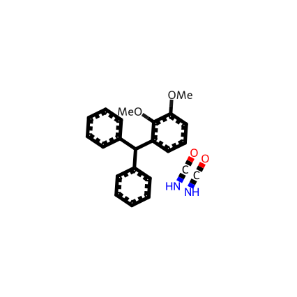 COc1cccc(C(c2ccccc2)c2ccccc2)c1OC.N=C=O.N=C=O